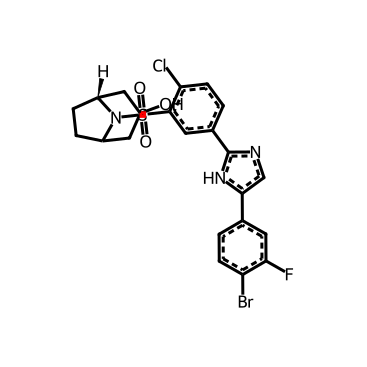 O=S(=O)(c1cc(-c2ncc(-c3ccc(Br)c(F)c3)[nH]2)ccc1Cl)N1C2CC[C@@H]1CC(O)C2